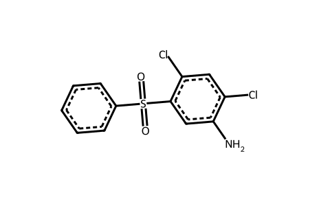 Nc1cc(S(=O)(=O)c2ccccc2)c(Cl)cc1Cl